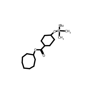 CC(C)(C)[Si](C)(C)OC1CCC(C(=O)OC2CCCCCCC2)CC1